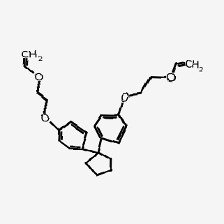 C=COCCOc1ccc(C2(c3ccc(OCCOC=C)cc3)CCCC2)cc1